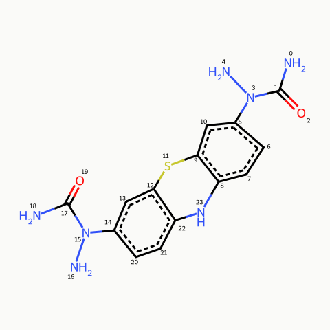 NC(=O)N(N)c1ccc2c(c1)Sc1cc(N(N)C(N)=O)ccc1N2